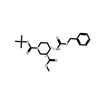 COC(=O)[C@H]1CN(C(=O)OC(C)(C)C)CC[C@@H]1NC(=O)OCc1ccccc1